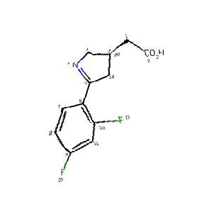 O=C(O)C[C@@H]1CN=C(c2ccc(F)cc2F)C1